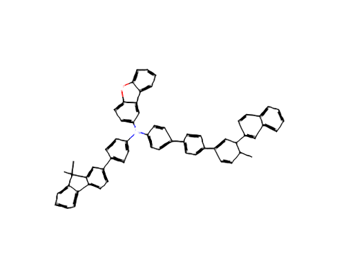 CC1C=CC(c2ccc(-c3ccc(N(c4ccc(-c5ccc6c(c5)C(C)(C)c5ccccc5-6)cc4)c4ccc5oc6ccccc6c5c4)cc3)cc2)=CC1c1ccc2ccccc2c1